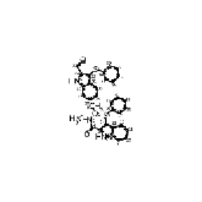 CON(C)C(=O)c1[nH]c2ccccc2c1Sc1ccccc1.O=Cc1[nH]c2ccccc2c1Sc1ccccc1